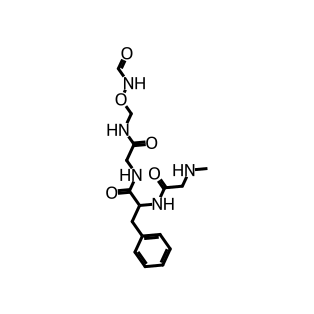 CNCC(=O)NC(Cc1ccccc1)C(=O)NCC(=O)NCONC=O